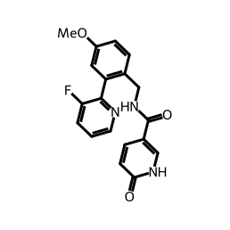 COc1ccc(CNC(=O)c2ccc(=O)[nH]c2)c(-c2ncccc2F)c1